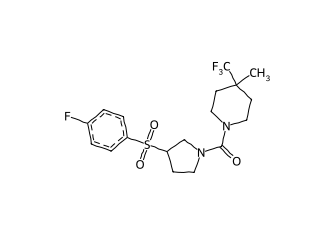 CC1(C(F)(F)F)CCN(C(=O)N2CCC(S(=O)(=O)c3ccc(F)cc3)C2)CC1